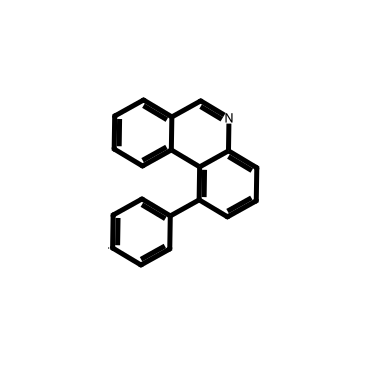 [c]1ccc(-c2cccc3ncc4ccccc4c23)cc1